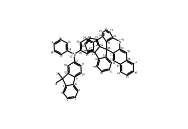 CC1(C)c2ccccc2-c2ccc(N(c3ccccc3)c3ccc(-c4cccc5c4C4(c6cc7ccccc7cc6S5)c5ccccc5-c5ccccc54)cc3)cc21